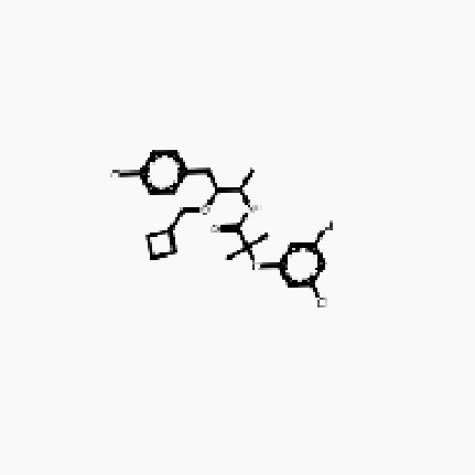 CC(NC(=O)C(C)(C)Oc1cc(Cl)cc(Cl)c1)C(Cc1ccc(Cl)cc1)OCC1CCC1